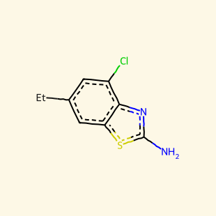 CCc1cc(Cl)c2nc(N)sc2c1